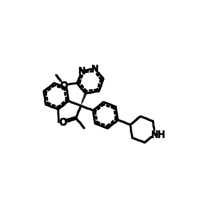 COc1nnccc1[C@@](C(C)=O)(c1ccc(C2CCNCC2)cc1)c1ccccc1C